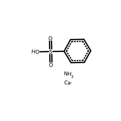 N.O=S(=O)(O)c1ccccc1.[Ca]